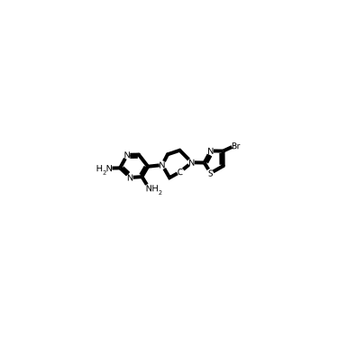 Nc1ncc(N2CCN(c3nc(Br)cs3)CC2)c(N)n1